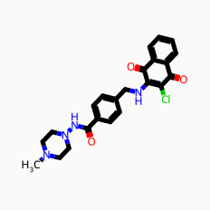 CN1CCN(NC(=O)c2ccc(CNC3=C(Cl)C(=O)c4ccccc4C3=O)cc2)CC1